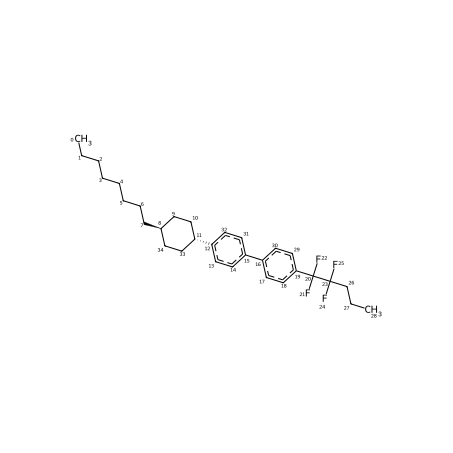 CCCCCCCC[C@H]1CC[C@H](c2ccc(-c3ccc(C(F)(F)C(F)(F)CCC)cc3)cc2)CC1